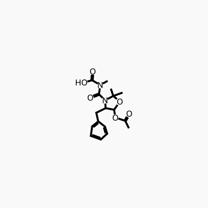 CC(=O)OC1OC(C)(C)N(C(=O)N(C)C(=O)O)C1Cc1ccccc1